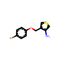 Nc1cscc1COc1ccc(Br)cc1